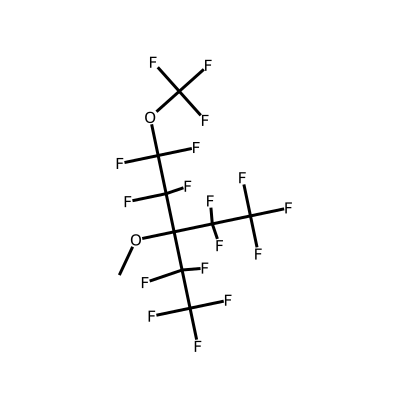 COC(C(F)(F)C(F)(F)F)(C(F)(F)C(F)(F)F)C(F)(F)C(F)(F)OC(F)(F)F